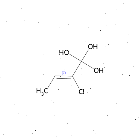 C/C=C(\Cl)C(O)(O)O